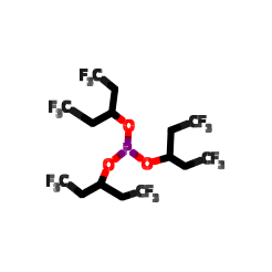 FC(F)(F)CC(CC(F)(F)F)OP(OC(CC(F)(F)F)CC(F)(F)F)OC(CC(F)(F)F)CC(F)(F)F